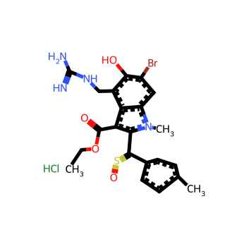 CCOC(=O)c1c(C(=S=O)c2ccc(C)cc2)n(C)c2cc(Br)c(O)c(CNC(=N)N)c12.Cl